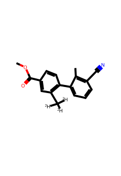 [2H]C([2H])([2H])c1cc(C(=O)OC)ccc1-c1cccc(C#N)c1C